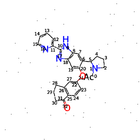 CC(=O)N1CCCC1c1cc2[nH]c(-c3ccccn3)nc2cc1Oc1ccc2c(c1)CCCC2=O